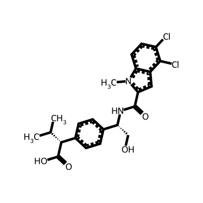 CC(C)[C@@H](C(=O)O)c1ccc([C@@H](CO)NC(=O)c2cc3c(Cl)c(Cl)ccc3n2C)cc1